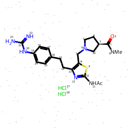 CNC(=O)[C@@H]1CCN(Cc2sc(NC(C)=O)nc2CCc2ccc(NC(=N)N)cc2)C1.Cl.Cl